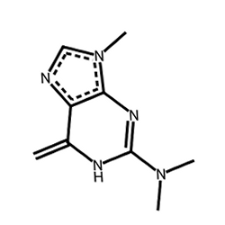 C=C1NC(N(C)C)=Nc2c1ncn2C